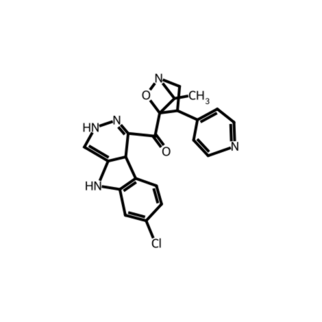 CC1N2CC(c3ccncc3)C1(C(=O)C1=NNC=C3Nc4cc(Cl)ccc4C31)O2